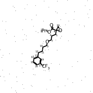 CC(C)OC(=O)C1(CCCOCCCCc2cccc(C(F)(F)F)c2)CO1